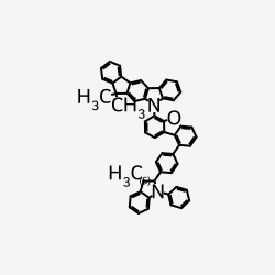 C[C@H]1c2ccccc2N(c2ccccc2)C1c1ccc(-c2cccc3oc4c(-n5c6ccccc6c6cc7c(cc65)C(C)(C)c5ccccc5-7)cccc4c23)cc1